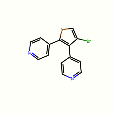 Brc1csc(-c2ccncc2)c1-c1ccncc1